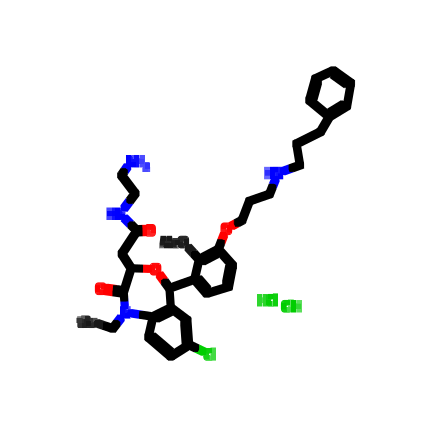 COc1c(OCCCNCCCc2ccccc2)cccc1C1OC(CC(=O)NCCN)C(=O)N(CC(C)(C)C)c2ccc(Cl)cc21.Cl.Cl